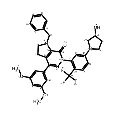 COc1cc(OC)cc(-c2nn(-c3cc(N4CC[C@H](O)C4)ccc3C(F)(F)F)c(=O)c3c2CCN3Cc2ccccc2)c1